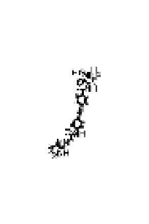 NC[C@H](NC(=O)c1ccc(C#Cc2ccc(NC(=O)CNCC3CCCCN3)cc2)cc1)C(=O)NO